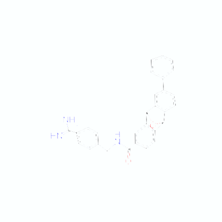 N=C(N)c1ccc(CNC(=O)c2ccc3c(c2)C2OC3c3ccc(-c4ccccc4)cc32)cc1